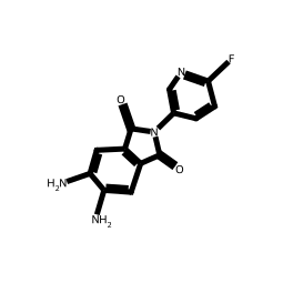 Nc1cc2c(cc1N)C(=O)N(c1ccc(F)nc1)C2=O